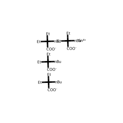 CCCCC(CC)(CC)C(=O)[O-].CCCCC(CC)(CC)C(=O)[O-].CCCCC(CC)(CC)C(=O)[O-].CCCCC(CC)(CC)C(=O)[O-].[Sn+4]